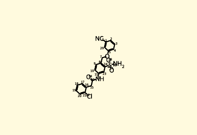 N#Cc1cccc(OCc2ccc(NC(=O)Cc3ccccc3Cl)cc2S(N)(=O)=O)c1